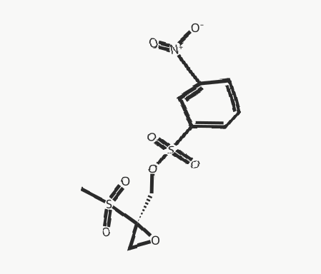 CS(=O)(=O)[C@]1(COS(=O)(=O)c2cccc([N+](=O)[O-])c2)CO1